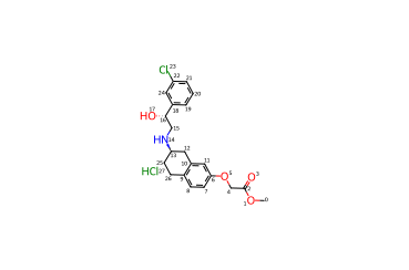 COC(=O)COc1ccc2c(c1)C[C@H](NC[C@H](O)c1cccc(Cl)c1)CC2.Cl